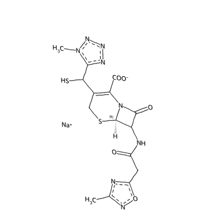 Cc1noc(CC(=O)NC2C(=O)N3C(C(=O)[O-])=C(C(S)c4nnnn4C)CS[C@H]23)n1.[Na+]